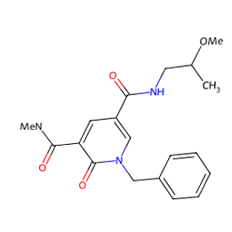 CNC(=O)c1cc(C(=O)NCC(C)OC)cn(Cc2ccccc2)c1=O